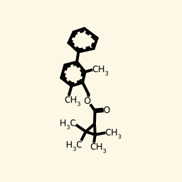 Cc1ccc(-c2ccccc2)c(C)c1COC(=O)C1C(C)(C)C1(C)C